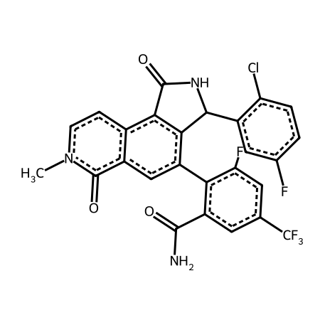 Cn1ccc2c3c(c(-c4c(F)cc(C(F)(F)F)cc4C(N)=O)cc2c1=O)C(c1cc(F)ccc1Cl)NC3=O